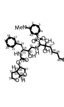 CNc1cccc(S(=O)(=O)C(NC[C@@H](O)[C@H](Cc2ccccc2)NC(=O)O[C@H]2CO[C@H]3OCC[C@H]32)C(C)(C)CCCCN)c1